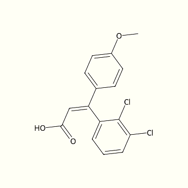 COc1ccc(C(=CC(=O)O)c2cccc(Cl)c2Cl)cc1